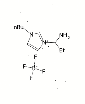 CCCCn1cc[n+](C(N)CC)c1.F[B-](F)(F)F